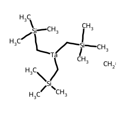 C[Si](C)(C)[CH2][Ta]([CH2][Si](C)(C)C)[CH2][Si](C)(C)C.[CH2]